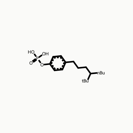 CCCCC(CCCc1ccc(OP(=O)(O)O)cc1)C(C)(C)C